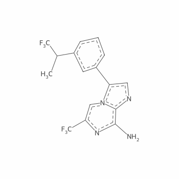 CC(c1cccc(-c2cnc3c(N)nc(C(F)(F)F)cn23)c1)C(F)(F)F